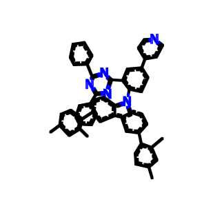 Cc1ccc(-c2ccc3c(c2)c2cc(-c4ccc(C)cc4C)ccc2n3-c2ccc(-c3ccncc3)cc2-c2nc(-c3ccccc3)nc(-c3ccccc3)n2)c(C)c1